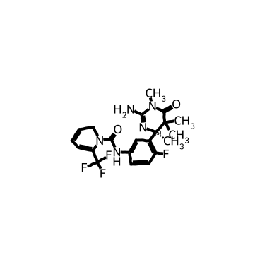 CN1C(=O)C(C)(C)[C@@](C)(c2cc(NC(=O)N3CC=CC=C3C(F)(F)F)ccc2F)N=C1N